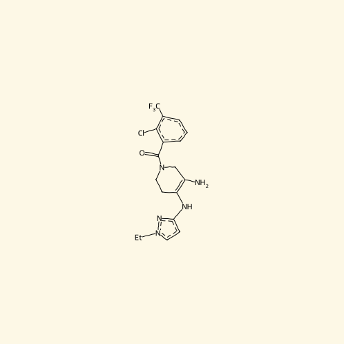 CCn1ccc(NC2=C(N)CN(C(=O)c3cccc(C(F)(F)F)c3Cl)CC2)n1